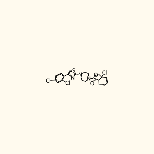 CC1(Cl)C=CC=CC1S(=O)(=O)N1CCN(c2nc(-c3ccc(Cl)cc3Cl)cs2)CC1